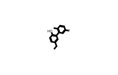 CCc1ccc(O)c(-c2cc(F)ccc2C)c1